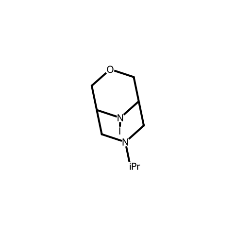 CC(C)N1CC2COCC(C1)N2I